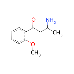 COc1ccccc1C(=O)CC(C)N